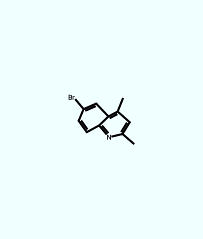 Cc1cc(C)c2cc(Br)ccc2n1